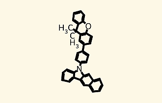 CC1(C)c2ccccc2Oc2ccc(-c3ccc(-n4c5ccccc5c5cc6ccccc6cc54)cc3)cc21